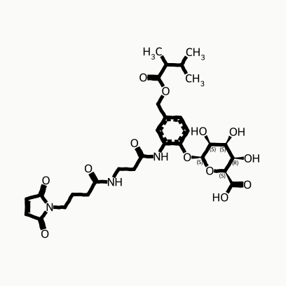 CC(C)C(C)C(=O)OCc1ccc(O[C@@H]2O[C@H](C(=O)O)[C@H](O)[C@H](O)[C@@H]2O)c(NC(=O)CCNC(=O)CCCN2C(=O)C=CC2=O)c1